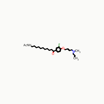 C=CCN(C)CC=CCOc1ccc(C(=O)CCCCCCCCCCNC(C)=O)cc1F